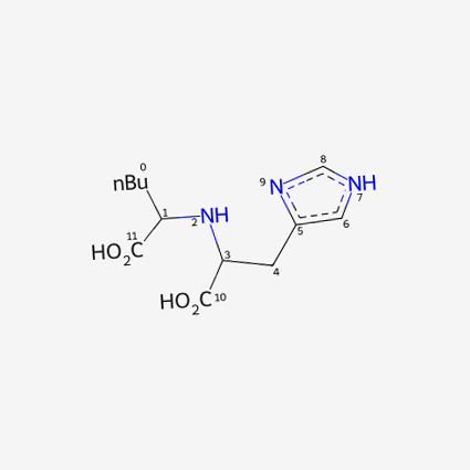 CCCCC(NC(Cc1c[nH]cn1)C(=O)O)C(=O)O